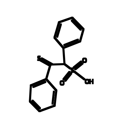 O=S(=O)(O)C(C(=S)c1ccccc1)c1ccccc1